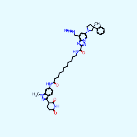 Cn1nc(C2CCC(=O)NC2=O)c2ccc(NC(=O)CCCCCCCCCCNC(=O)c3nc4c(CN=[N+]=[N-])cc(N5CC[C@](C)(c6ccccc6)C5)cn4n3)cc21